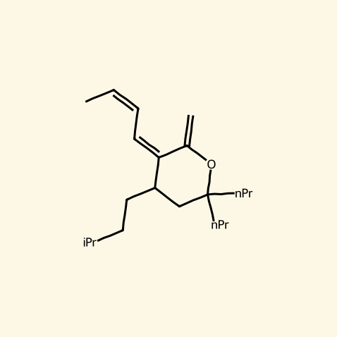 C=C1OC(CCC)(CCC)CC(CCC(C)C)/C1=C/C=C\C